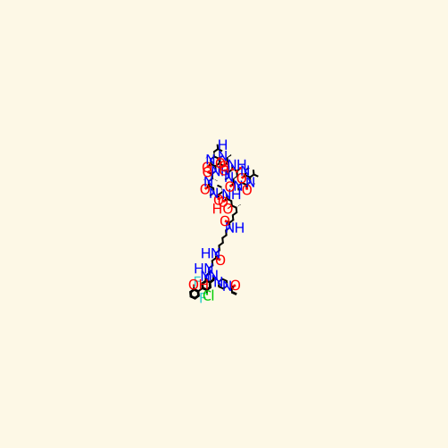 C=CC(=O)N1CCN(c2nc(NCCC(=O)NCCCCCCNC(=O)CCC[C@@H](C)[C@@H](O)CC(=O)N[C@@H](CC)C(=O)N(C)CC(=O)N(C)[C@@H](C)C(=O)NC(C(=O)N(C)[C@@H](CC(C)C)C(=O)N[C@@H](C)C(=O)N[C@H](C)C(=O)N(C)[C@@H](CC(C)C)C(=O)N(C)CC(=O)N(C)C(C(=O)N(C)C)C(C)C)C(C)C)nc3c(F)c(-c4c(O)cccc4F)c(Cl)cc23)CC1